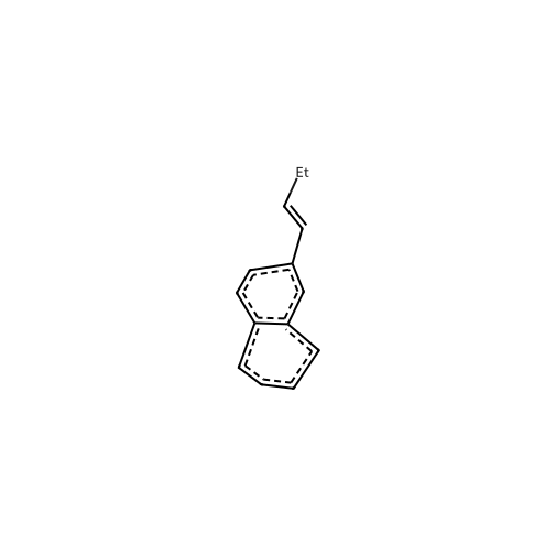 [CH2]C/C=C/c1ccc2ccccc2c1